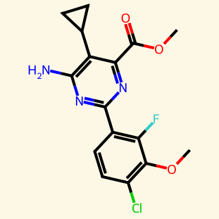 COC(=O)c1nc(-c2ccc(Cl)c(OC)c2F)nc(N)c1C1CC1